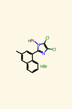 Br.CCCn1c(-c2cc(C)cc3ccccc23)nc(Cl)c1Cl